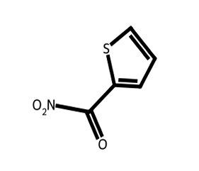 O=C(c1cccs1)[N+](=O)[O-]